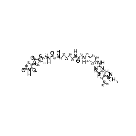 Cn1ncc(-c2nc(NC3CCC(CNCC(=O)NCCCCCNCC(=O)NCc4cc5c(s4)C(=O)N(C4CCC(=O)NC4=O)C5)CC3)ncc2F)c1CC1CC1